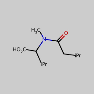 CC(C)CC(=O)N(C)C(C(=O)O)C(C)C